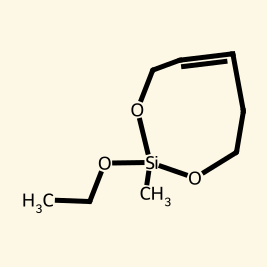 CCO[Si]1(C)OC/C=C\CCO1